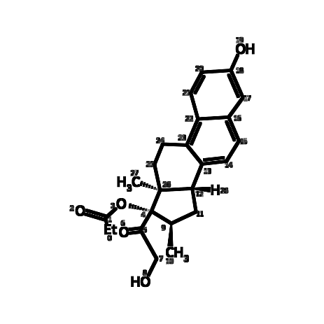 CCC(=O)O[C@@]1(C(=O)CO)[C@H](C)C[C@H]2c3ccc4cc(O)ccc4c3CC[C@@]21C